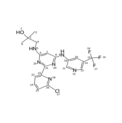 CC(C)(O)CNc1cc(Nc2cncc(C(F)(F)F)c2)nc(-c2cccc(Cl)n2)n1